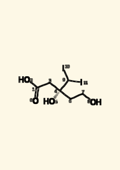 O=C(O)C[C@](O)(CCO)C(I)I